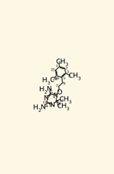 Cc1cc(C)c(CCON2C(N)=NC(N)=NC2(C)C)c(C)c1